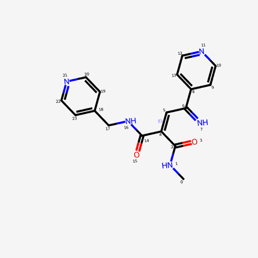 CNC(=O)/C(=C\C(=N)c1ccncc1)C(=O)NCc1ccncc1